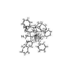 PCC1([C]23[C]4(c5ccccc5)[C]5(c6ccccc6)[CH]6[C]2(C(P)(c2ccc7ccccc7n2)c2ccc7ccccc7n2)[Fe]65432789[CH]3[CH]2[CH]7[CH]8[CH]39)C2CC3CC(C2)CC1C3